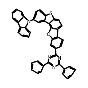 c1ccc(-c2nc(-c3ccccc3)nc(-c3ccc4c(c3)oc3c4ccc4sc5ccc(-n6c7ccccc7c7ccccc76)cc5c43)n2)cc1